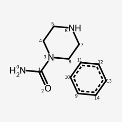 NC(=O)N1CCNCC1.c1ccccc1